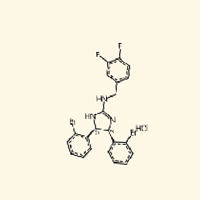 Cl.Fc1ccc(CNC2=N[C@@H](c3ccccc3Br)[C@@H](c3ccccc3Br)N2)cc1F